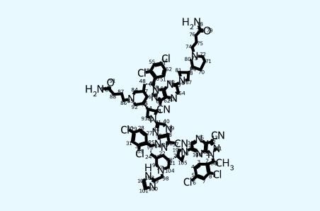 C[C@H](c1ccc(Cl)cc1Cl)n1nc(C#N)c2ncc(N3CC([C@H]4CC(C[C@H](c5ccc(Cl)cc5Cl)n5nc(C#N)c6ncc(N7CC([C@@H]8CC(C[C@H](c9ccc(Cl)cc9Cl)n9nc(C#N)c%10ncc(N%11CC([C@H]%12CCCN(CCCC(N)=O)C%12)C%11)nc%109)CN(CCCC(N)=O)C8)C7)nc65)CN(Cc5ncc[nH]5)C4)C3)nc21